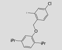 [CH]c1cc(Cl)ccc1COc1cc(C(C)C)ccc1C(C)C